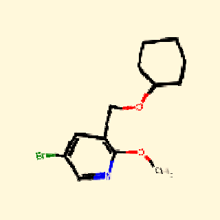 COc1ncc(Br)cc1COC1CCCCC1